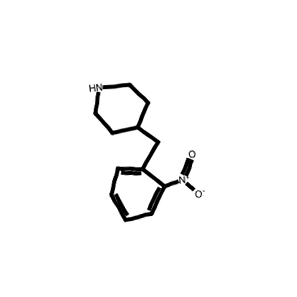 O=[N+]([O-])c1ccccc1CC1CCNCC1